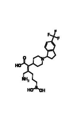 NC/C(CCCB(O)O)=C(\C(=O)O)C1CCN(C2CCc3cc(C(F)(F)F)ccc32)CC1